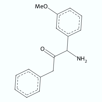 COc1cccc(C(N)C(=O)Cc2ccccc2)c1